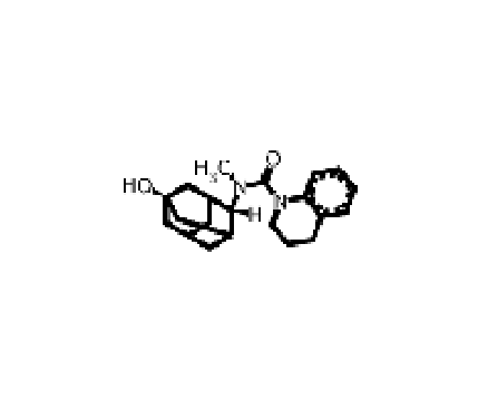 CN(C(=O)N1CCCc2ccccc21)[C@H]1C2CC3CC1C[C@](O)(C3)C2